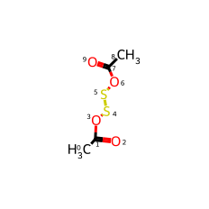 CC(=O)OSSOC(C)=O